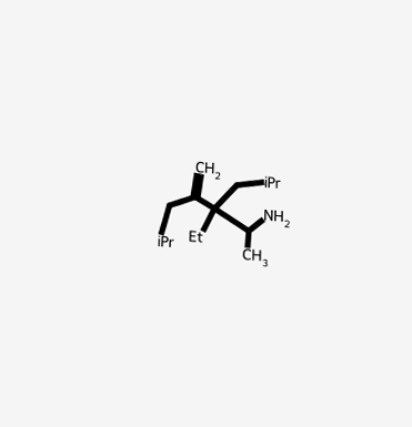 C=C(CC(C)C)C(CC)(CC(C)C)C(C)N